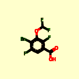 O=C(O)c1cc(F)c(Br)c(OC(F)F)c1F